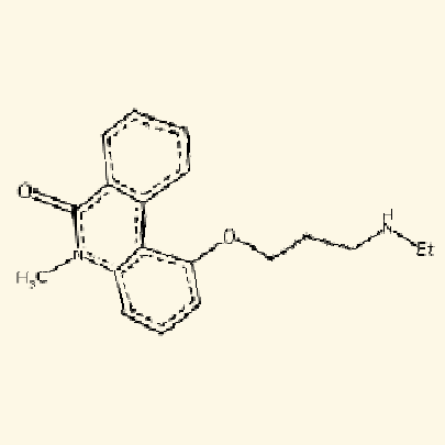 CCNCCCOc1cccc2c1c1ccccc1c(=O)n2C